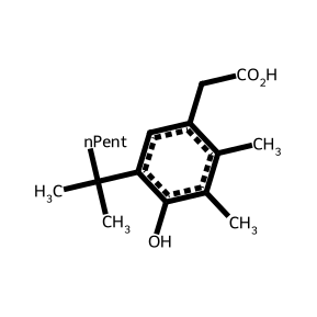 CCCCCC(C)(C)c1cc(CC(=O)O)c(C)c(C)c1O